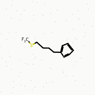 FC(F)(F)SCCCCc1ccccc1